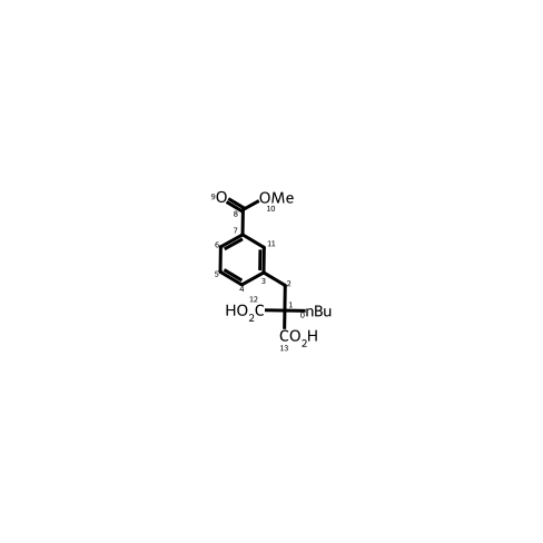 CCCCC(Cc1cccc(C(=O)OC)c1)(C(=O)O)C(=O)O